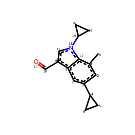 Cc1cc(C2CC2)cc2c(C=O)cn(C3CC3)c12